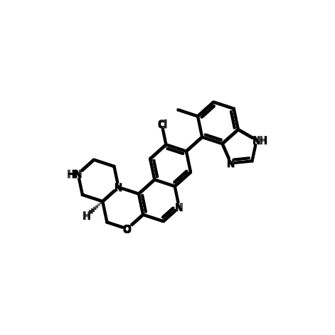 Cc1ccc2[nH]cnc2c1-c1cc2ncc3c(c2cc1Cl)N1CCNC[C@@H]1CO3